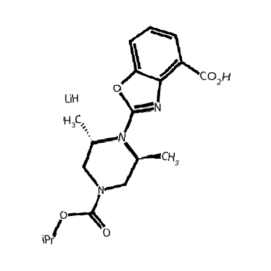 CC(C)OC(=O)N1C[C@H](C)N(c2nc3c(C(=O)O)cccc3o2)[C@@H](C)C1.[LiH]